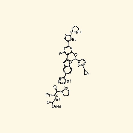 COC(=O)N[C@H](C(=O)N1CCC[C@H]1c1ncc(-c2ccc3c(c2)cc2n3C(c3ccc(C4CC4)s3)Oc3cc(-c4cnc([C@@H]5CCCN5)[nH]4)cc(F)c3-2)[nH]1)C(C)C